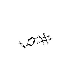 O=C=Nc1ccc(OC2C(F)(F)C(F)(F)C2(F)F)cc1